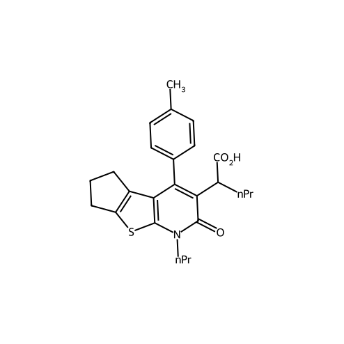 CCCC(C(=O)O)c1c(-c2ccc(C)cc2)c2c3c(sc2n(CCC)c1=O)CCC3